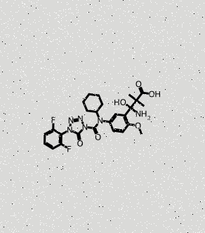 COc1ccc(N(C(=O)n2nnn(-c3c(F)cccc3F)c2=O)C2CCCCC2)cc1C(N)(O)C(C)(C)C(=O)O